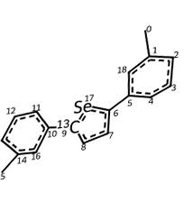 Cc1cccc(-c2cc[13c](-c3cccc(C)c3)[se]2)c1